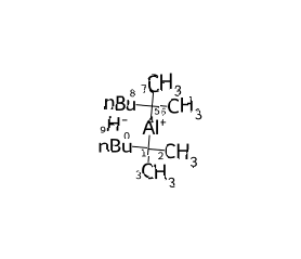 CCCC[C](C)(C)[Al+][C](C)(C)CCCC.[H-]